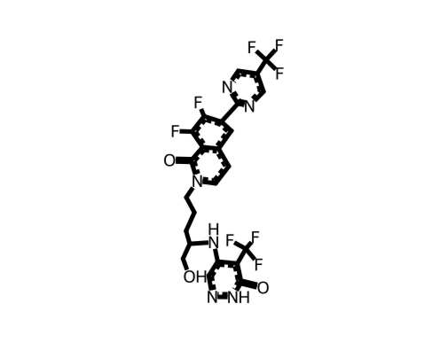 O=c1[nH]ncc(NC(CO)CCCn2ccc3cc(-c4ncc(C(F)(F)F)cn4)c(F)c(F)c3c2=O)c1C(F)(F)F